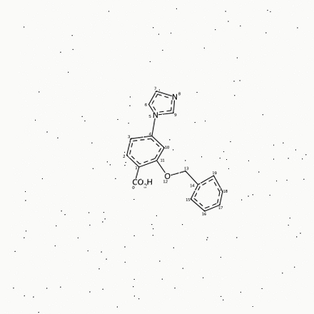 O=C(O)c1ccc(-n2ccnc2)cc1OCc1ccccc1